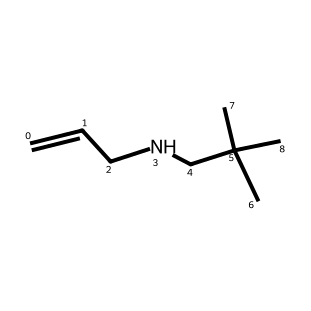 C=CCNCC(C)(C)C